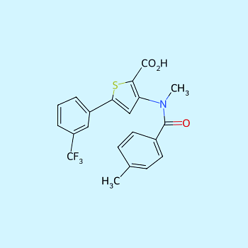 Cc1ccc(C(=O)N(C)c2cc(-c3cccc(C(F)(F)F)c3)sc2C(=O)O)cc1